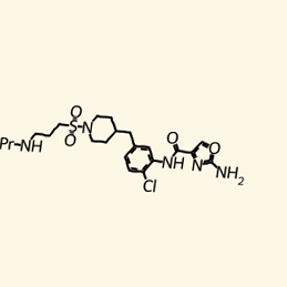 CC(C)NCCCS(=O)(=O)N1CCC(Cc2ccc(Cl)c(NC(=O)c3coc(N)n3)c2)CC1